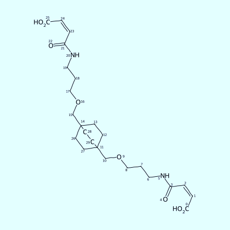 O=C(O)/C=C\C(=O)NCCCOCC12CCC(COCCCNC(=O)/C=C\C(=O)O)(CC1)CC2